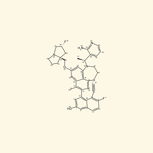 C#Cc1c(F)ccc2cc(O)cc(-c3nc4c5c(cc(OC[C@@]67CCCN6C[C@H](F)C7)nc5c3F)N([C@@H](C)c3cccnc3N)CCO4)c12